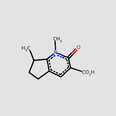 CC1CCc2cc(C(=O)O)c(=O)n(C)c21